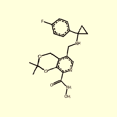 CC1(C)OCc2c(CNC3(c4ccc(F)cc4)CC3)cnc(C(=O)NO)c2O1